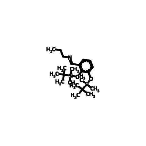 CCC/N=C/c1cccc(O[Si](C)(C)C(C)(C)C)c1O[Si](C)(C)C(C)(C)C